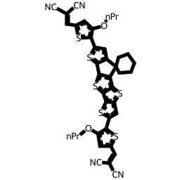 CCCOc1cc(C=C(C#N)C#N)sc1-c1cc2c(s1)-c1sc3c(sc4cc(-c5sc(C=C(C#N)C#N)cc5OCCC)sc43)c1C21CCCCC1